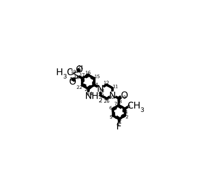 Cc1cc(F)ccc1C(=O)N1CCN(c2ccc(S(C)(=O)=O)cc2N)CC1